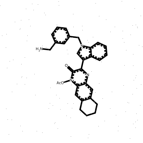 CC(=O)On1c(=O)c(-c2cn(Cc3cccc(CN)c3)c3ccccc23)nc2cc3c(cc21)CCCC3